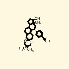 C#Cc1ccc([C@H]2CC3(C)C(O)CCC3C3CCC4CC5(CCC4=C32)OCC(C)(C)CO5)cc1